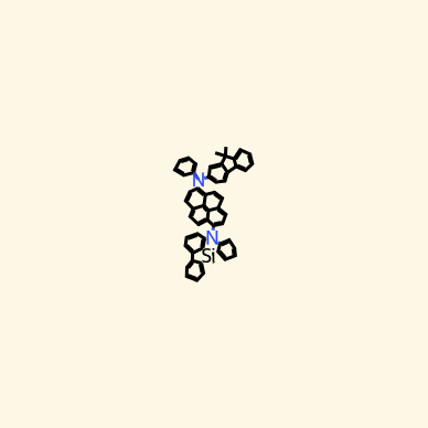 CC1(C)c2ccccc2-c2ccc(N(c3ccccc3)c3ccc4ccc5c(N(c6ccccc6)c6cccc7c6[Si](C)(C)c6ccccc6-7)ccc6ccc3c4c65)cc21